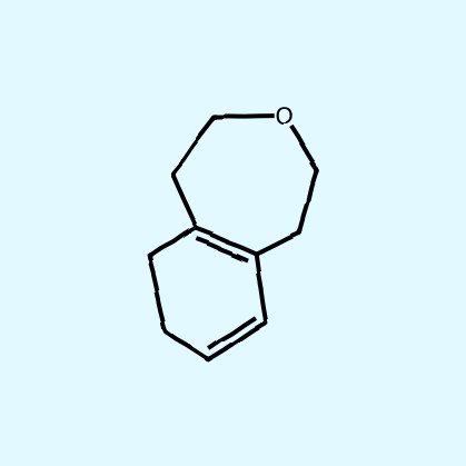 C1=CC2=C(CC1)CCOCC2